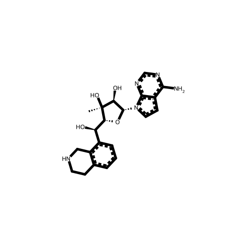 C[C@@]1(O)[C@@H]([C@H](O)c2cccc3c2CNCC3)O[C@@H](n2ccc3c(N)ncnc32)[C@@H]1O